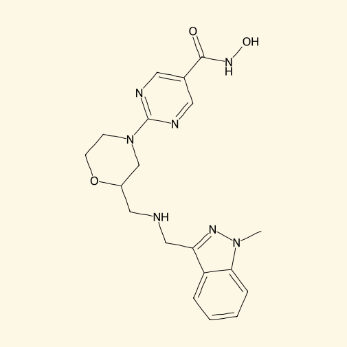 Cn1nc(CNCC2CN(c3ncc(C(=O)NO)cn3)CCO2)c2ccccc21